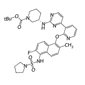 Cc1ccc2c(NS(=O)(=O)N3CCCC3)c(F)ccc2c1Oc1ncccc1-c1ccnc(N[C@H]2CCCN(C(=O)OC(C)(C)C)C2)n1